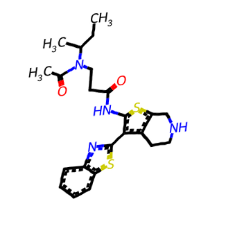 CCC(C)N(CCC(=O)Nc1sc2c(c1-c1nc3ccccc3s1)CCNC2)C(C)=O